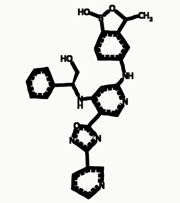 CC1OB(O)c2ccc(Nc3cc(N[C@H](CO)c4ccccc4)c(-c4nc(-c5cccnc5)no4)cn3)cc21